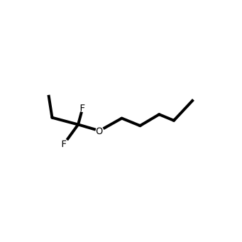 CCCCCOC(F)(F)CC